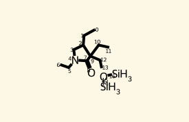 CCC1CN(CC)C(=O)C1(CC)CC.[SiH3]O[SiH3]